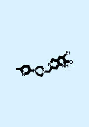 CCc1cc2cnc(CN3CCN(c4ccc(C)nc4)CC3)cc2[nH]c1=O